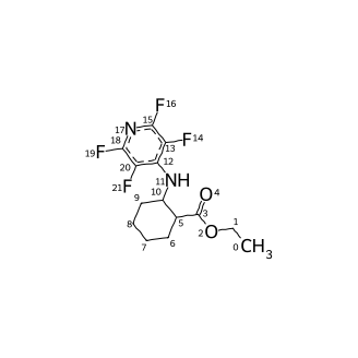 CCOC(=O)C1CCCCC1Nc1c(F)c(F)nc(F)c1F